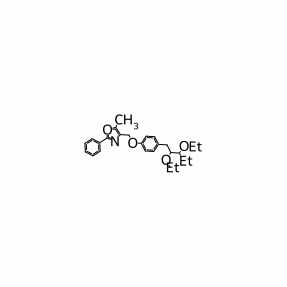 CCOC(CC)C(Cc1ccc(OCc2nc(-c3ccccc3)oc2C)cc1)OCC